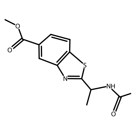 COC(=O)c1ccc2sc(C(C)NC(C)=O)nc2c1